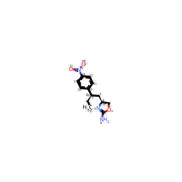 CC[C@H](C[C@H]1COC(N)=N1)c1ccc([N+](=O)[O-])cc1